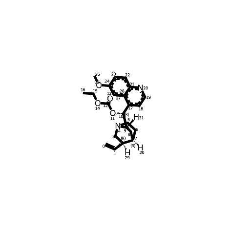 C=C[C@H]1CN2CC[C@@H]1C[C@H]2[C@H](OC(=O)OCC)c1ccnc2ccc(OC)cc12